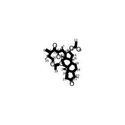 C=C(C(=O)[C@H](O)[C@@H](C)[C@H]1[C@@H](OC(C)=O)C[C@@]2(C)C3CCC4[C@H](C)C(=O)C=C[C@@]45C[C@@]35CC[C@]12C)[C@@H](C)COC(C)=O